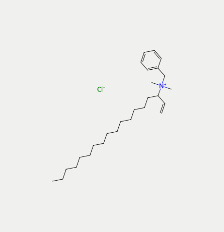 C=CC(CCCCCCCCCCCCCCC)[N+](C)(C)Cc1ccccc1.[Cl-]